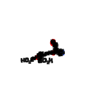 O=C(O)CCCOc1cccc(CCCCCCOc2cc(-c3ccncc3)cc(-c3ccc4c(c3)OCO4)c2)c1CCC(=O)O